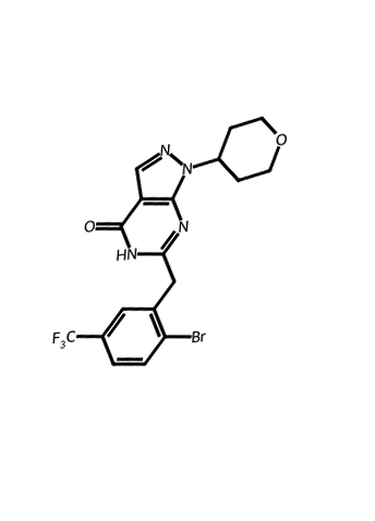 O=c1[nH]c(Cc2cc(C(F)(F)F)ccc2Br)nc2c1cnn2C1CCOCC1